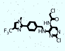 Cn1cc(C(F)(F)F)nc1-c1ccc(CNc2nc(Cl)ncc2NC(=O)CCl)cc1